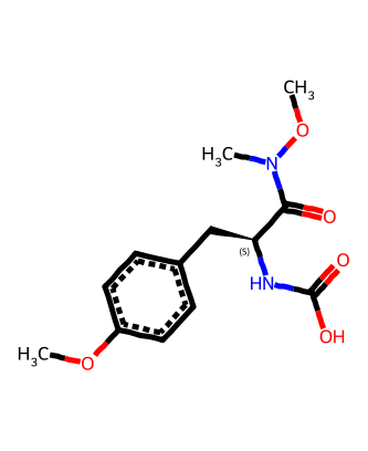 COc1ccc(C[C@H](NC(=O)O)C(=O)N(C)OC)cc1